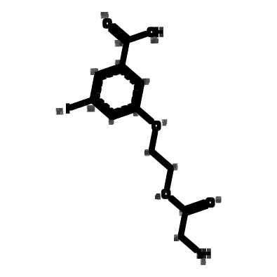 O=C(CS)OCCOc1cc(I)cc(C(=O)O)c1